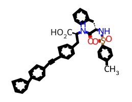 Cc1ccc(S(=O)(=O)N[C@@H](Cc2ccccc2)C(=O)N[C@@H](Cc2ccc(C#Cc3ccc(-c4ccccc4)cc3)cc2)C(=O)O)cc1